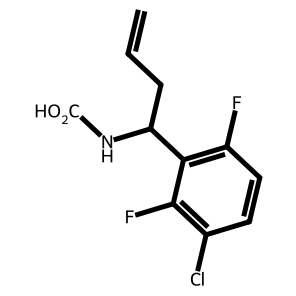 C=CCC(NC(=O)O)c1c(F)ccc(Cl)c1F